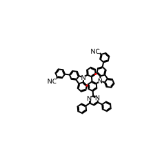 N#Cc1cccc(-c2ccc3c(c2)c2ccccc2n3-c2ccccc2-c2ccc(-c3nc(-c4ccccc4)cc(-c4ccccc4)n3)cc2-n2c3ccccc3c3cc(-c4cccc(C#N)c4)ccc32)c1